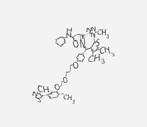 CCc1ccc(-c2scnc2C)cc1OCCOCCCOc1ccc(C2=N[C@@H](CC(=O)Nc3ccccc3)c3nnc(C)n3-c3sc(C)c(C)c32)cc1